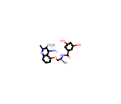 CCOC(=O)c1c(C)nc2cccc(OC[C@@H](NC(=O)c3cc(O)cc(O)c3)C(C)C)c2c1N